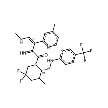 CN/C=C(\C(=N)C(=O)N1CC(F)(F)CC(C)[C@H]1CNc1ccc(C(F)(F)F)cn1)c1cc(C)ccn1